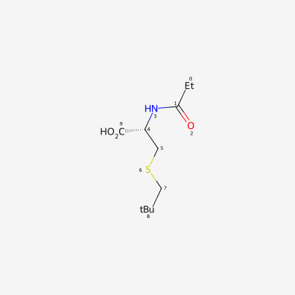 CCC(=O)N[C@H](CSCC(C)(C)C)C(=O)O